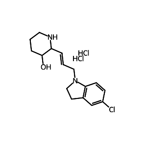 Cl.Cl.OC1CCCNC1/C=C/CN1CCc2cc(Cl)ccc21